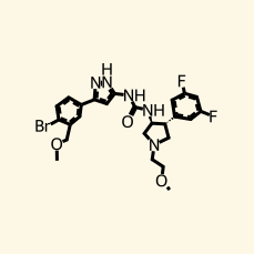 COCCN1C[C@@H](NC(=O)Nc2cc(-c3ccc(Br)c(COC)c3)n[nH]2)[C@H](c2cc(F)cc(F)c2)C1